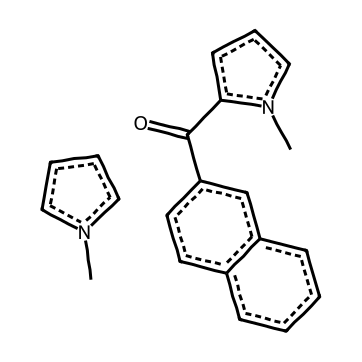 Cn1cccc1.Cn1cccc1C(=O)c1ccc2ccccc2c1